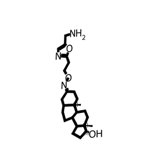 C[C@]12CCC(=NOCCc3ncc(CN)o3)CC1CCC1C2CC[C@@]2(C)C1CC[C@@H]2O